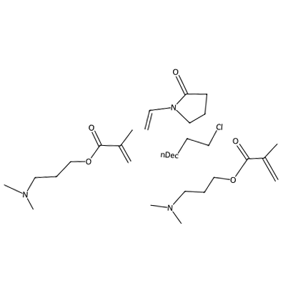 C=C(C)C(=O)OCCCN(C)C.C=C(C)C(=O)OCCCN(C)C.C=CN1CCCC1=O.CCCCCCCCCCCCCl